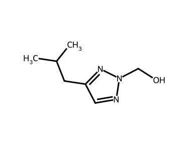 CC(C)Cc1cnn(CO)n1